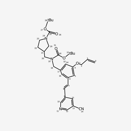 C=CCOc1cc(C=Cc2cncc(C#N)c2)cc(CN(CC2CCN(C(=O)OC(C)(C)C)C2)C(=O)OC(C)(C)C)c1